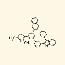 Cc1ccc(-c2cc(-c3cccc(-c4nc5ccccn5c4-c4ccccc4)c3)cc(-c3ccc4ccccc4c3)c2)c(C)n1